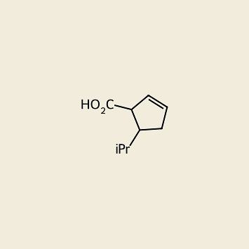 CC(C)C1CC=CC1C(=O)O